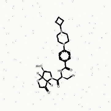 CO[C@H]1CN(C(=O)[C@H](CC(C)C)NC(=O)c2ccc(N3CCN(C4CCC4)CC3)cc2)[C@@H]2C(=O)CO[C@H]12